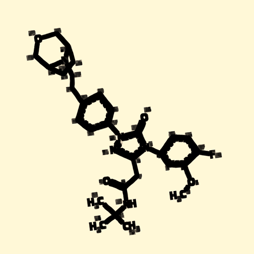 COc1cc(-n2c(CC(=O)NC(C)(C)C)nn(-c3ccc(CCN4C5CCC4COC5)cc3)c2=O)ccc1F